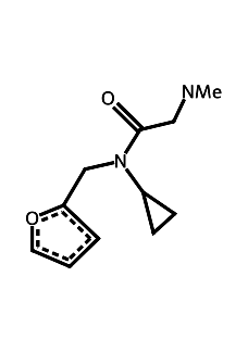 CNCC(=O)N(Cc1ccco1)C1CC1